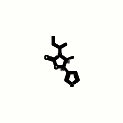 CCC(C)N1C(=O)O[C@H](c2ccsc2)[C@@H]1C